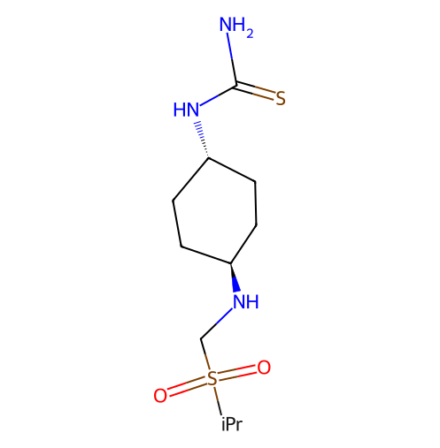 CC(C)S(=O)(=O)CN[C@H]1CC[C@H](NC(N)=S)CC1